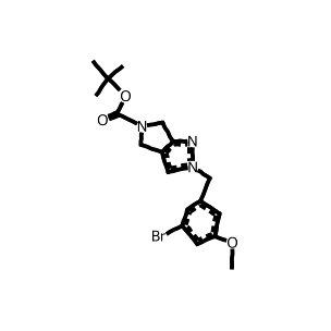 COc1cc(Br)cc(Cn2cc3c(n2)CN(C(=O)OC(C)(C)C)C3)c1